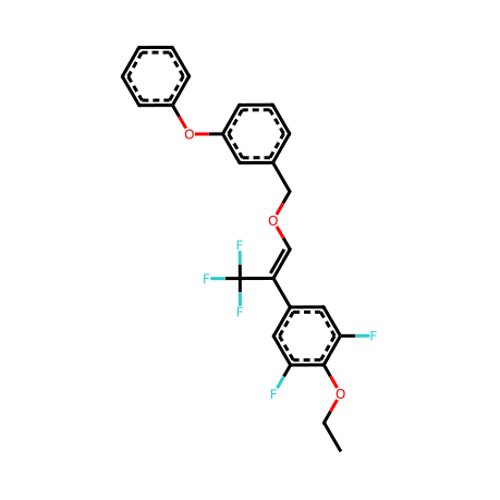 CCOc1c(F)cc(C(=COCc2cccc(Oc3ccccc3)c2)C(F)(F)F)cc1F